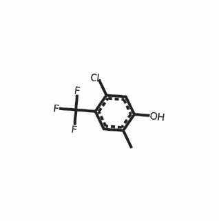 Cc1cc(C(F)(F)F)c(Cl)cc1O